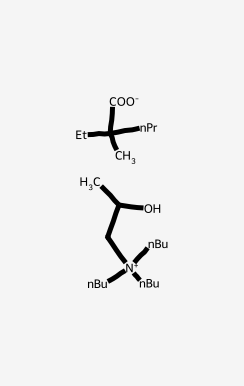 CCCC(C)(CC)C(=O)[O-].CCCC[N+](CCCC)(CCCC)CC(C)O